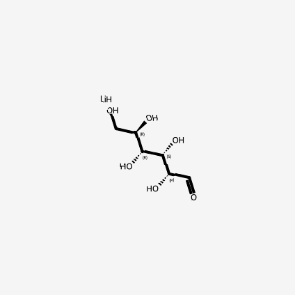 O=C[C@H](O)[C@@H](O)[C@H](O)[C@H](O)CO.[LiH]